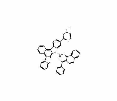 C[C@H]1C=CN=C(c2ccc3c4c5ccccc5c5c6ccccc6sc5c4n(-c4nc(-c5ccccc5)c5ccc6ccccc6c5n4)c3c2)C1